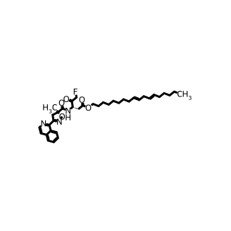 CCCCC/C=C/C/C=C/CCCCCCCCOC(=O)C[C@H](NC(=O)C1(C)CC(c2nccc3ccccc23)=NO1)C(=O)CF